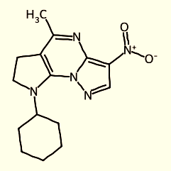 Cc1nc2c([N+](=O)[O-])cnn2c2c1CCN2C1CCCCC1